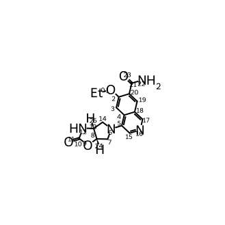 CCOc1cc2c(N3C[C@@H]4OC(=O)N[C@@H]4C3)cncc2cc1C(N)=O